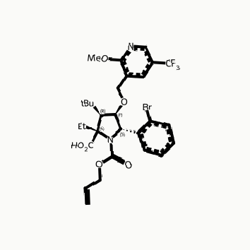 C=CCOC(=O)N1[C@@H](c2ccccc2Br)[C@H](OCc2cc(C(F)(F)F)cnc2OC)[C@H](C(C)(C)C)[C@@]1(CC)C(=O)O